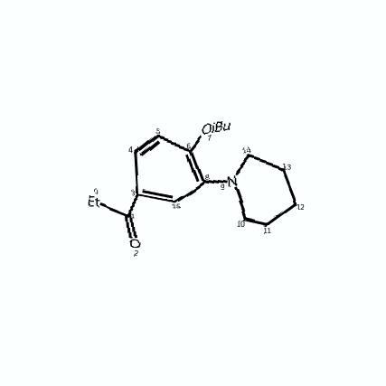 CCC(=O)c1ccc(OCC(C)C)c(N2CCCCC2)c1